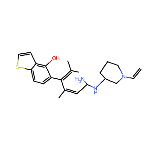 C=CN1CCCC(NC(N)/C=C(/C)C(=C(C)C)c2ccc3sccc3c2O)C1